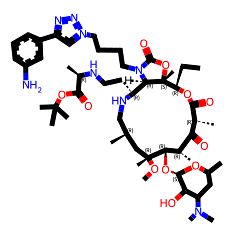 CC[C@H]1OC(=O)[C@H](C)C(=O)[C@H](C)[C@@H](O[C@@H]2OC(C)CC(N(C)C)C2O)[C@](C)(OC)C[C@@H](C)CN[C@H](CCN[C@H](C)C(=O)OC(C)(C)C)[C@H]2N(CCCCn3cc(-c4cccc(N)c4)nn3)C(=O)O[C@]12C